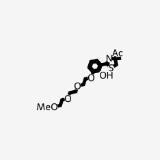 COCCOCCOCCOc1cccc(C2=N[C@@](C)(C(C)=O)CS2)c1O